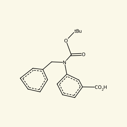 CC(C)(C)OC(=O)N(Cc1ccccc1)c1cccc(C(=O)O)c1